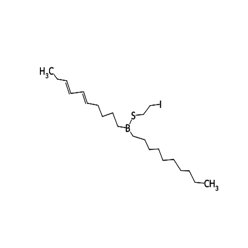 CC/C=C/C=C/CCCCB(CCCCCCCCCC)SCCI